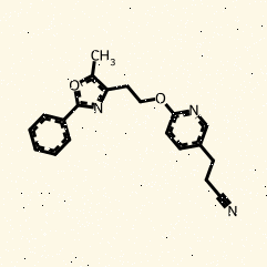 Cc1oc(-c2ccccc2)nc1CCOc1ccc(CCC#N)cn1